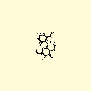 [4H]/P=N\[C@H]1C(C)[C@H](C)C(CC)O[C@H]1O[C@@H]1C(CC)O[C@@H](C)[C@@H](C)C1C